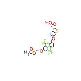 CS(=O)(=O)CCCOc1cc(C(F)(F)F)c(-c2cccc(COc3cc4c(cn3)[C@H](CC(=O)O)CS4)c2)c(C(F)(F)F)c1